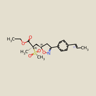 C/C=C/c1ccc(C2=NO[C@@H](C[C@](C)(C(=O)OCC)S(C)(=O)=O)C2)cc1